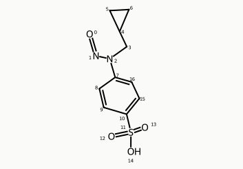 O=NN(CC1CC1)c1ccc(S(=O)(=O)O)cc1